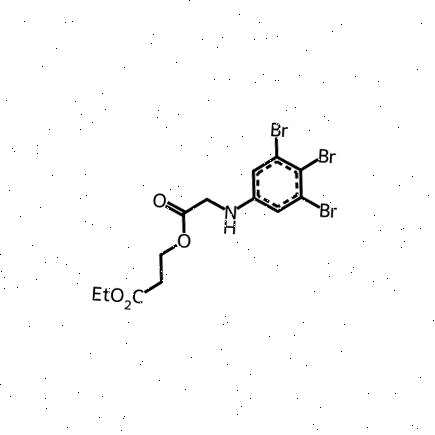 CCOC(=O)CCOC(=O)CNc1cc(Br)c(Br)c(Br)c1